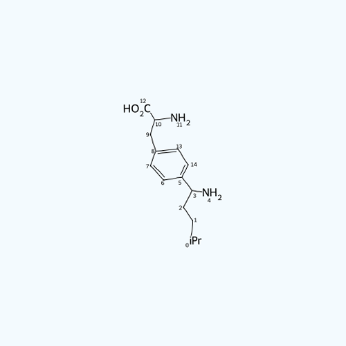 CC(C)CCC(N)c1ccc(CC(N)C(=O)O)cc1